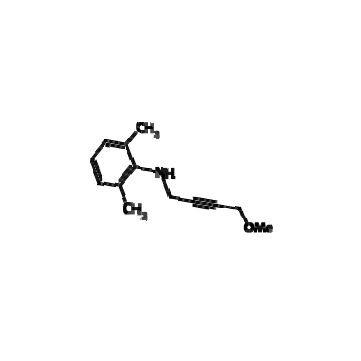 COCC#CCNc1c(C)cccc1C